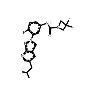 CC(C)Cc1cnc2nn(-c3cc(NC(=O)N4CC(F)(F)C4)ccc3F)cc2c1